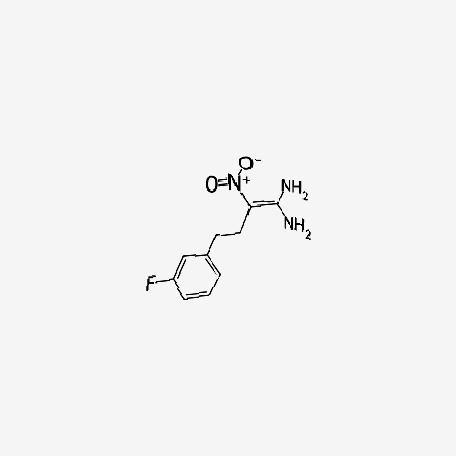 NC(N)=C(CCc1cccc(F)c1)[N+](=O)[O-]